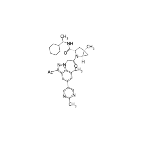 CC(=O)c1nn(CC(=O)N2[C@H](C(=O)NC(C)C3CCCCC3)C[C@@]3(C)C[C@@H]23)c2c(C)cc(-c3cnc(C)nc3)cc12